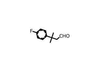 CC(C)(CC=O)c1ccc(F)cc1